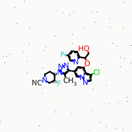 Cc1c(-c2cc(OC(CO)c3ccc(F)cn3)c3c(Cl)cnn3c2)nnn1[C@H]1CCN(C#N)C[C@H]1F